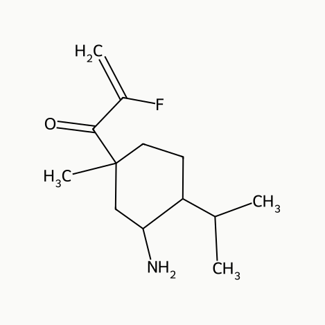 C=C(F)C(=O)C1(C)CCC(C(C)C)C(N)C1